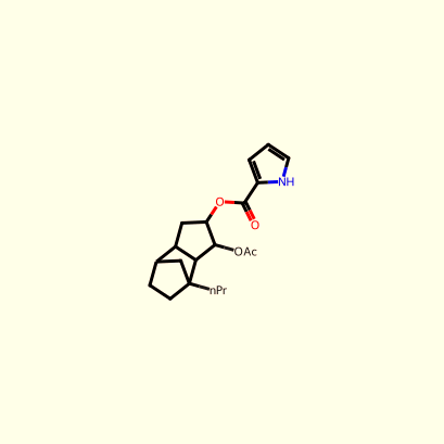 CCCC12CCC(C1)C1CC(OC(=O)c3ccc[nH]3)C(OC(C)=O)C12